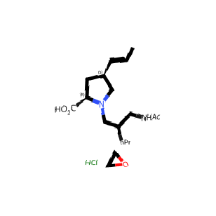 C1CO1.CC=C[C@@H]1C[C@H](C(=O)O)N(CC(CCC)CNC(C)=O)C1.Cl